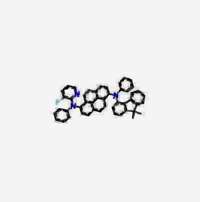 CC1(C)c2ccccc2-c2c(N(c3ccccc3)c3ccc4ccc5c(N(c6ccccc6)c6ncccc6F)ccc6ccc3c4c65)cccc21